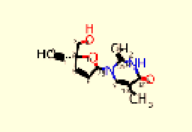 C#C[C@@]1(CO)C=CC(N2C=C(C)C(=O)NC2=C)O1